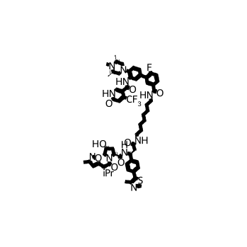 Cc1cc([C@H](C(=O)N2C[C@H](O)C[C@H]2C(=O)N[C@@H](CC(=O)NCCCCCCCCNC(=O)c2ccc(F)c(-c3ccc(N4C[C@@H](C)N(C)[C@@H](C)C4)c(NC(=O)c4c[nH]c(=O)cc4C(F)(F)F)c3)c2)c2ccc(-c3scnc3C)cc2)C(C)C)on1